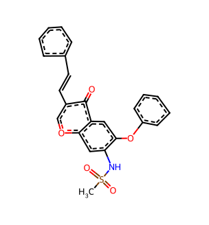 CS(=O)(=O)Nc1cc2occ(C=Cc3ccccc3)c(=O)c2cc1Oc1ccccc1